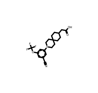 N#Cc1cc(OC(F)(F)F)cc(N2CCC3(CCC(CC(=O)O)CC3)CC2)c1